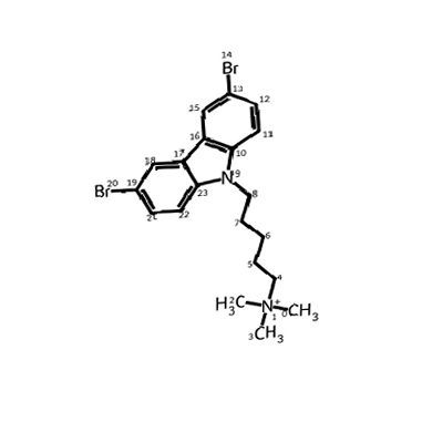 C[N+](C)(C)CCCCCn1c2ccc(Br)cc2c2cc(Br)ccc21